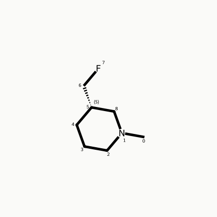 CN1CCC[C@H](CF)C1